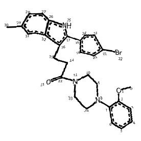 COc1ccccc1N1CCN(C(=O)CCc2c(-c3ccc(Br)cc3)[nH]c3ccc(C)cc23)CC1